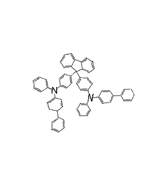 C1=CC(c2ccc(N(c3ccccc3)c3ccc(C4(c5ccc(N(C6=CCC(c7ccccc7)C=C6)c6ccccc6)cc5)c5ccccc5-c5ccccc54)cc3)cc2)=CCC1